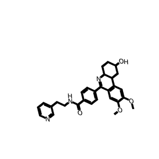 COc1cc2c(cc1OC)C1CC(O)CCC1N=C2c1ccc(C(=O)NCCc2cccnc2)cc1